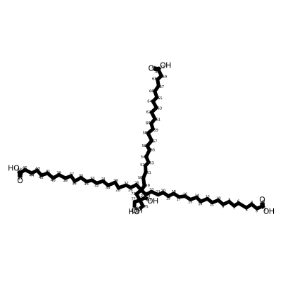 O=C(O)CCCCCCCCCCCCCCCCCCCCCC(CCCCCCCCCCCCCCCCCCCCCC(=O)O)(CCCCCCCCCCCCCCCCCCCCCC(=O)O)CC(CO)(CO)CO